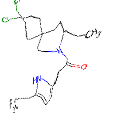 CC1CC2(CN1C(=O)c1ccc(C(F)(F)F)[nH]1)CC(Cl)(Cl)C2